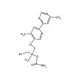 Cc1cc(-c2cc(C)c(OCC(C)(CC(C)C)OC(N)=O)cn2)ncn1